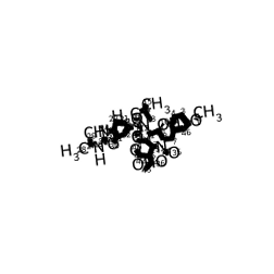 COc1cccc(CC([C@H](O)CN(CC(C)C)S(=O)(=O)c2ccc3nc(NC(C)C)oc3c2)N(C(=O)O)C2CCOC3OCCC32)c1